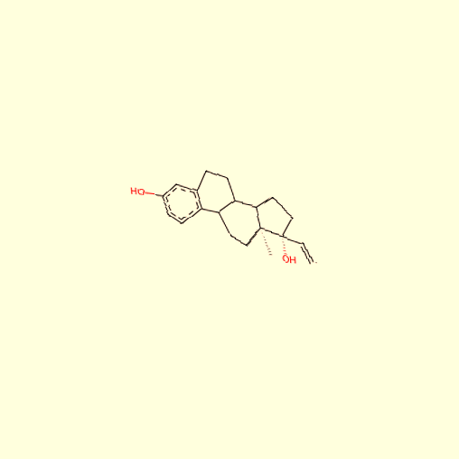 [CH]=C[C@]1(O)CCC2C3CCc4cc(O)ccc4C3CC[C@@]21C